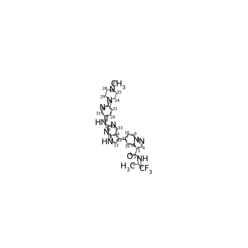 C[C@@H](NC(=O)c1cnn2ccc(-c3c[nH]c4nc(Nc5ccc(N6CCN(C)CC6)nc5)ncc34)cc12)C(F)(F)F